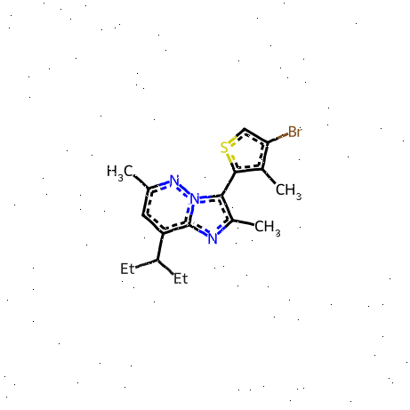 CCC(CC)c1cc(C)nn2c(-c3scc(Br)c3C)c(C)nc12